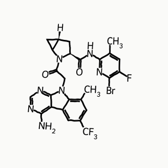 Cc1cc(F)c(Br)nc1NC(=O)[C@@H]1C[C@H]2CC2N1C(=O)Cn1c2ncnc(N)c2c2cc(C(F)(F)F)cc(C)c21